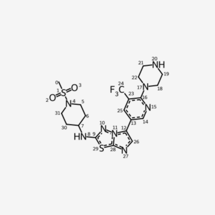 CS(=O)(=O)N1CCC(Nc2nn3c(-c4cnc(N5CCNCC5)c(C(F)(F)F)c4)cnc3s2)CC1